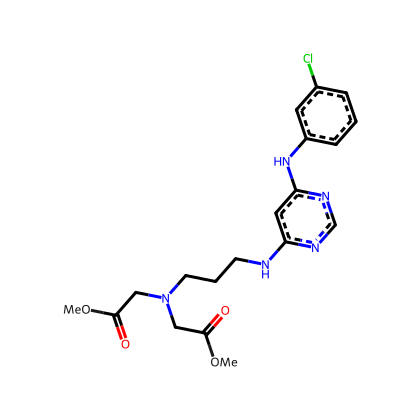 COC(=O)CN(CCCNc1cc(Nc2cccc(Cl)c2)ncn1)CC(=O)OC